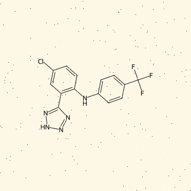 FC(F)(F)c1ccc(Nc2ccc(Cl)cc2-c2nn[nH]n2)cc1